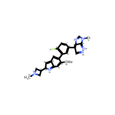 CCn1cnc2c(-c3ccc(F)c(-c4cc5c(cc4OC)=NC(C4CN(C)C4)C=5)c3)cnnc21